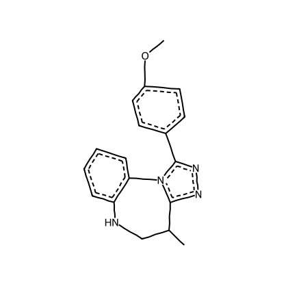 COc1ccc(-c2nnc3n2-c2ccccc2NCC3C)cc1